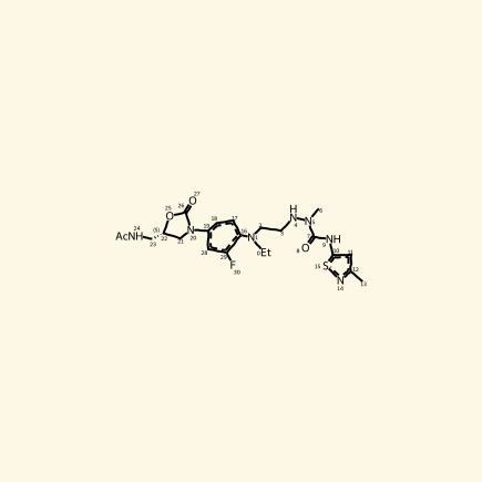 CCN(CCNN(C)C(=O)Nc1cc(C)ns1)c1ccc(N2C[C@H](CNC(C)=O)OC2=O)cc1F